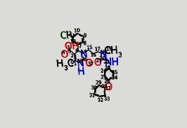 CC1=C(C(=O)O)C(c2cccc(Cl)c2)N(CCCN(C)C(=O)Nc2ccc(Oc3ccccc3)cc2)C(=O)N1